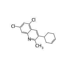 Cc1nc2cc(Cl)cc(Cl)c2cc1C1CC=CCC1